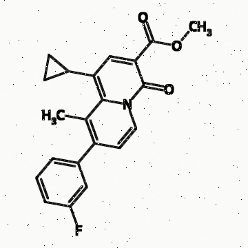 COC(=O)c1cc(C2CC2)c2c(C)c(-c3cccc(F)c3)ccn2c1=O